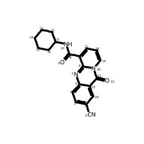 N#Cc1ccc2nc3c(C(=O)NC4CCCCC4)cccn3c(=O)c2c1